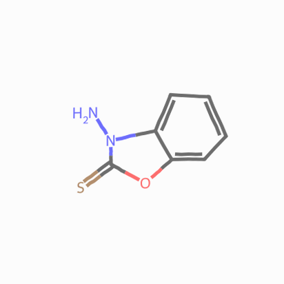 Nn1c(=S)oc2ccccc21